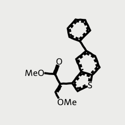 CO/C=C(/C(=O)OC)c1csc2ccc(-c3ccccc3)cc12